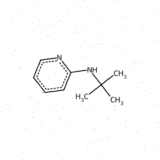 CC(C)(C)Nc1c[c]ccn1